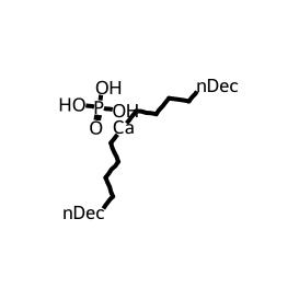 CCCCCCCCCCCCC[CH2][Ca][CH2]CCCCCCCCCCCCC.O=P(O)(O)O